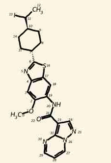 COc1cc2nc([C@H]3CC[C@H](C(C)I)CC3)sc2cc1NC(=O)c1cnn2cccnc12